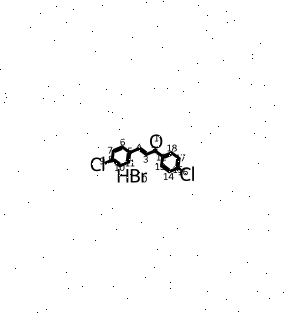 Br.O=C(C=Cc1ccc(Cl)cc1)c1ccc(Cl)cc1